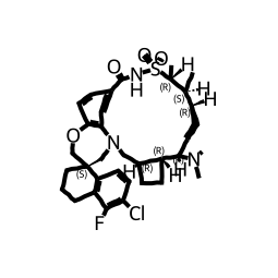 C[C@@H]1[C@@H](C)S(=O)(=O)NC(=O)c2ccc3c(c2)N(C[C@@H]2CC[C@H]2[C@@H](N(C)C)C2=C[C@H]1C2)C[C@@]1(CCCc2c1ccc(Cl)c2F)CO3